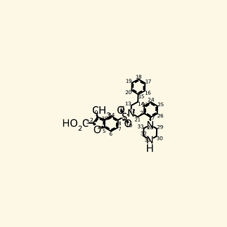 Cc1c(C(=O)O)oc2ccc(S(=O)(=O)N(CCc3ccccc3)Cc3ccccc3N3CCNCC3)cc12